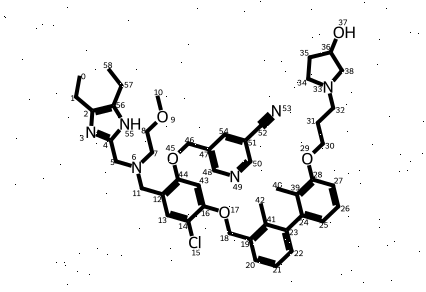 CCc1nc(CN(CCOC)Cc2cc(Cl)c(OCc3cccc(-c4cccc(OCCCN5CCC(O)C5)c4C)c3C)cc2OCc2cncc(C#N)c2)[nH]c1CC